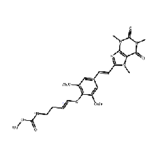 COc1cc(C=Cc2nc3c(c(=O)n(C)c(=O)n3C)n2C)cc(OC)c1O/C=C/CCNC(=O)OC(C)(C)C